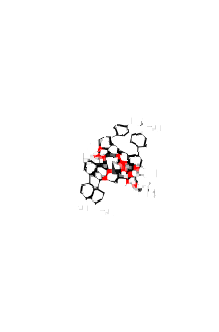 Cc1ccc(C2=Cc3c(-c4ccc(C(C)(C)C)cc4)cccc3[C]23[SiH](C)[C]2(C(c4ccc(C)o4)=Cc4c(-c5ccc(C(C)(C)C)cc5)cccc42)[Hf]32([Cl])([Cl])[C]3(C(c4ccc(C)o4)=Cc4c(-c5ccc(C(C)(C)C)cc5)cccc43)[SiH](C)[C]23C(c2ccc(C)o2)=Cc2c(-c4ccc(C(C)(C)C)cc4)cccc23)o1